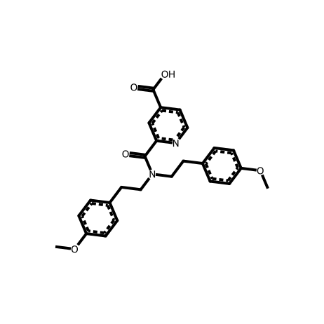 COc1ccc(CCN(CCc2ccc(OC)cc2)C(=O)c2cc(C(=O)O)ccn2)cc1